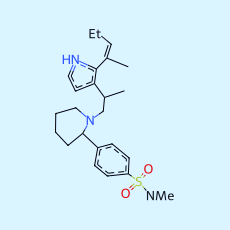 CC/C=C(/C)c1[nH]ccc1C(C)CN1CCCCC1c1ccc(S(=O)(=O)NC)cc1